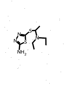 CCN(CC)C(C)Sc1nnc(N)s1